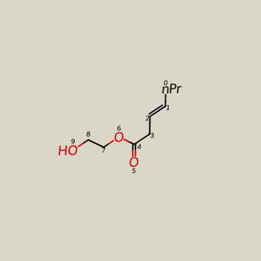 CCCC=CCC(=O)OCCO